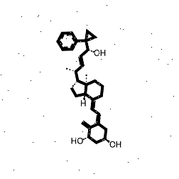 C=C1/C(=C\C=C2/CCC[C@]3(C)[C@@H]([C@H](C)/C=C/[C@@H](O)C4(c5ccccc5)CC4)CC[C@@H]23)C[C@@H](O)C[C@@H]1O